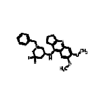 COc1cc2nc3c(c(NC4CN(Cc5ccccc5)CC(F)(F)C4)c2cc1OC)CCC3